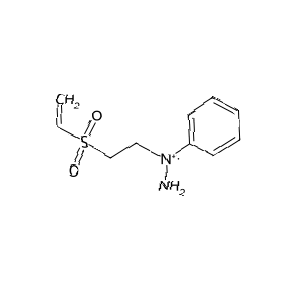 C=CS(=O)(=O)CC[N+](N)c1ccccc1